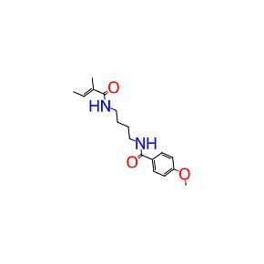 CC=C(C)C(=O)NCCCCNC(=O)c1ccc(OC)cc1